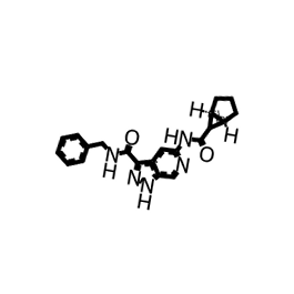 O=C(NCc1ccccc1)c1n[nH]c2cnc(NC(=O)C3[C@H]4CCC[C@@H]34)cc12